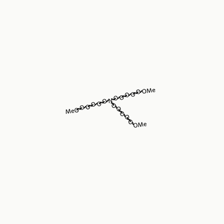 COCCOCCOCCOCCOCCOCCN(CCOCCOCCOCCOCCOCCOC)CCOCCOCCOCCOCCOCCOC